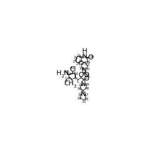 CCc1cc(C[C@@H](OC(=O)N2CCC3(CC2)CC(=O)Nc2ccccc23)C(=O)N2CCC(N3CCCCC3)CC2)cc(Cl)c1N